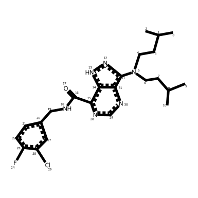 CC(C)CCN(CCC(C)C)c1n[nH]c2c(C(=O)NCc3ccc(F)c(Cl)c3)ncnc12